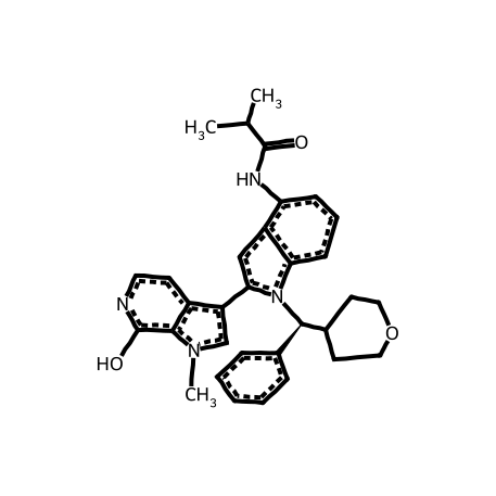 CC(C)C(=O)Nc1cccc2c1cc(-c1cn(C)c3c(O)nccc13)n2[C@H](c1ccccc1)C1CCOCC1